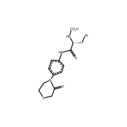 CC(C)C[C@@H](NC(=O)O)C(=O)Nc1ccc(N2CCOCC2=O)cc1